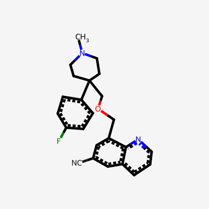 CN1CCC(COCc2cc(C#N)cc3cccnc23)(c2ccc(F)cc2)CC1